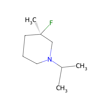 CC(C)N1CCC[C@@](C)(F)C1